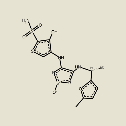 CC[C@@H](Nc1n[s+]([O-])nc1Nc1csc(S(N)(=O)=O)c1O)c1ccc(C)o1